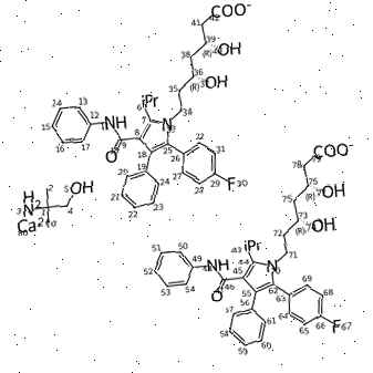 CC(C)(N)CO.CC(C)c1c(C(=O)Nc2ccccc2)c(-c2ccccc2)c(-c2ccc(F)cc2)n1CC[C@@H](O)C[C@@H](O)CC(=O)[O-].CC(C)c1c(C(=O)Nc2ccccc2)c(-c2ccccc2)c(-c2ccc(F)cc2)n1CC[C@@H](O)C[C@@H](O)CC(=O)[O-].[Ca+2]